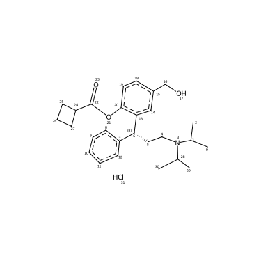 CC(C)N(CC[C@H](c1ccccc1)c1cc(CO)ccc1OC(=O)C1CCC1)C(C)C.Cl